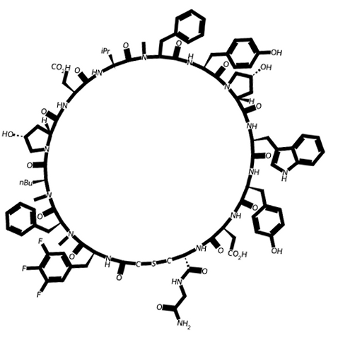 CCCC[C@H]1C(=O)N2C[C@H](O)C[C@@H]2C(=O)N[C@@H](CC(=O)O)C(=O)N[C@@H](C(C)C)C(=O)N(C)C(Cc2ccccc2)C(=O)N[C@@H](Cc2ccc(O)cc2)C(=O)N2C[C@H](O)C[C@@H]2C(=O)N[C@@H](Cc2c[nH]c3ccccc23)C(=O)N[C@@H](Cc2ccc(O)cc2)C(=O)N[C@@H](CC(=O)O)C(=O)N[C@H](C(=O)NCC(N)=O)CSCC(=O)N[C@@H](Cc2cc(F)c(F)c(F)c2)C(=O)N(C)[C@@H](Cc2ccccc2)C(=O)N1C